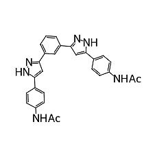 CC(=O)Nc1ccc(-c2cc(-c3cccc(-c4cc(-c5ccc(NC(C)=O)cc5)[nH]n4)c3)n[nH]2)cc1